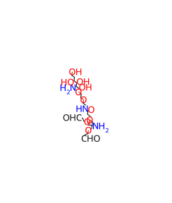 NC(C(O)OCCOCCNC(=O)CCOCC(N)(COCCC=O)COCCC=O)C(O)C(O)CCO